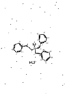 Cl.NC(CCc1ccccc1)(Cc1ccccc1)Cc1ccccc1